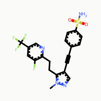 Cn1ncc(C#Cc2ccc(S(N)(=O)=O)cc2)c1CCc1ncc(C(F)(F)F)cc1F